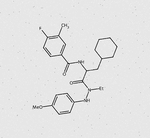 CCN(Nc1ccc(OC)cc1)C(=O)C(CC1CCCCC1)NC(=O)c1ccc(F)c(C)c1